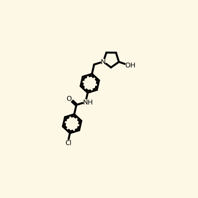 O=C(Nc1ccc(CN2CCC(O)C2)cc1)c1ccc(Cl)cc1